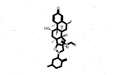 C=C1CCC(C)CC1N1C[C@@H]2C[C@H]3[C@@H]4C[C@H](F)C5=CC(=O)C=C[C@]5(C)[C@@]4(F)[C@@H](O)C[C@]3(C)[C@]2(C(=O)SCF)O1